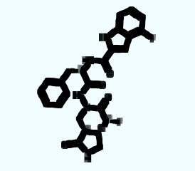 O=C(N[C@@H](Cc1ccccc1)C(=O)NN(C[C@H]1CCNC1=O)C(=O)[C@H](F)Cl)c1cc2c(F)cccc2[nH]1